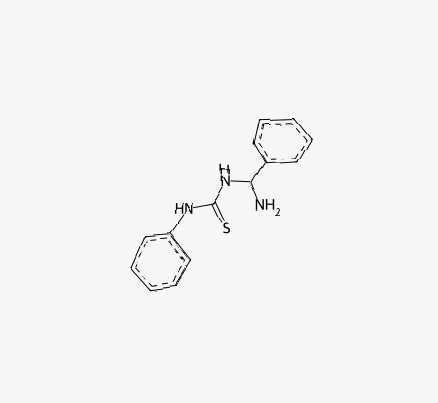 NC(NC(=S)Nc1ccccc1)c1ccccc1